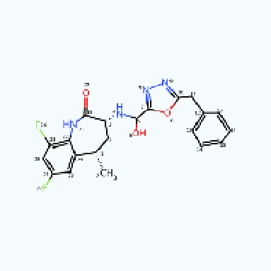 C[C@H]1C[C@@H](NC(O)c2nnc(Cc3ccccc3)o2)C(=O)Nc2c(F)cc(F)cc21